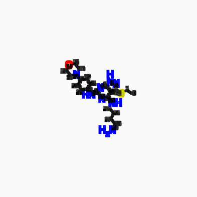 CCSc1n[nH]c2nc(Nc3ccc(N4CCOCC4)cc3)nc(NCCCCN)c12